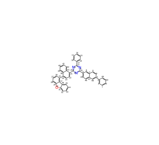 c1ccc(-c2ccc3cc(-c4nc(-c5ccccc5)nc(-c5ccc(-c6cccc7oc8ccccc8c67)c6ccccc56)n4)ccc3c2)cc1